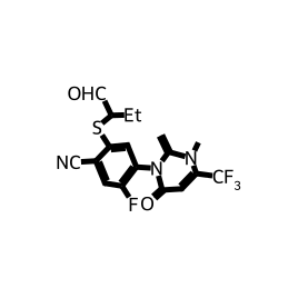 C=C1N(C)C(C(F)(F)F)=CC(=O)N1c1cc(SC(C=O)CC)c(C#N)cc1F